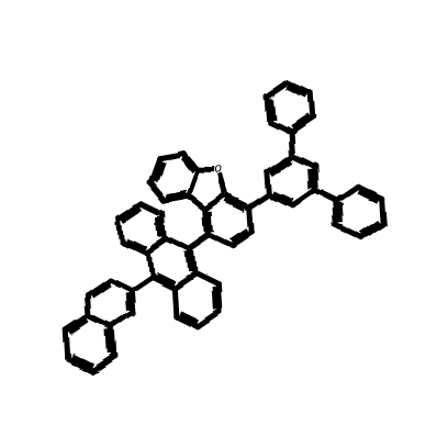 c1ccc(-c2cc(-c3ccccc3)cc(-c3ccc(-c4c5ccccc5c(-c5ccc6ccccc6c5)c5ccccc45)c4c3oc3ccccc34)c2)cc1